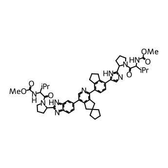 COC(=O)NC(C(=O)N1CCCC1c1ncc(-c2ccc(-c3ncc(-c4ccc5nc(C6CCCN6C(=O)C(NC(=O)OC)C(C)C)[nH]c5c4)c4c3CC3(CCCC3)C4)c3c2CCC3)[nH]1)C(C)C